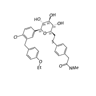 CCOc1ccc(Cc2cc([C@@H]3O[C@H](CSc4ccc(CC(=O)NC)cc4)[C@@H](O)[C@H](O)[C@H]3O)ccc2Cl)cc1